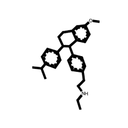 CCNCCc1ccc(C2c3ccc(OC)cc3CCC2c2ccc(C(C)C)cc2)cc1